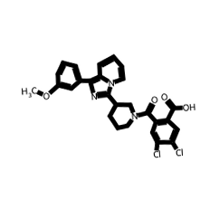 COc1cccc(-c2nc(C3CCCN(C(=O)c4cc(Cl)c(Cl)cc4C(=O)O)C3)n3ccccc23)c1